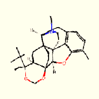 Cc1ccc2c3c1O[C@H]1[C@@]45CC[C@@]6(C[C@@H]4[C@@](C)(C(C)(C)C)OCO5)[C@@H](C2)N(C)CC[C@]316